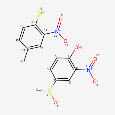 C[S+]([O-])c1ccc(O)c([N+](=O)[O-])c1.Cc1ccc(S)c([N+](=O)[O-])c1